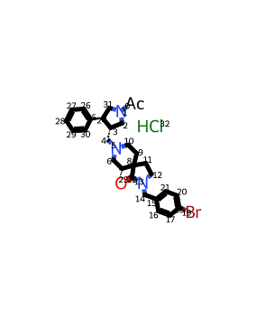 CC(=O)N1C[C@H](CN2CCC3(CC2)CCN(Cc2ccc(Br)cc2)C3=O)[C@@H](c2ccccc2)C1.Cl